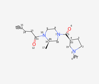 CC(C)N1CC[C@H](C(=O)N2CCN(C(=O)CCC(C)(C)C)[C@H](C)C2)C1